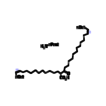 CCCCCCCC/C=C\CCCCCCCCCCCC(=O)C(CCCCCCCCCC/C=C\CCCCCCCC)C(=O)O.CCCCCN